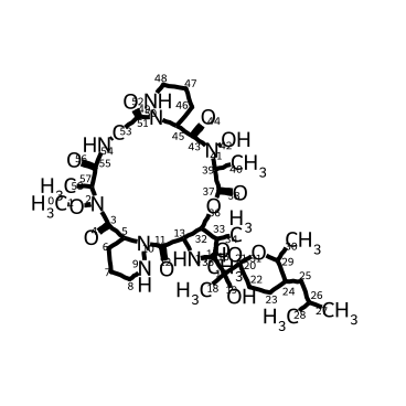 CON1C(=O)C2CCCNN2C(=O)C(NC(=O)C(C)(O)C2(O)CCC(CC(C)C)C(C)O2)C(C(C)C)OC(=O)C(C)N(O)C(=O)C2CCCNN2C(=O)CNC(=O)C1C